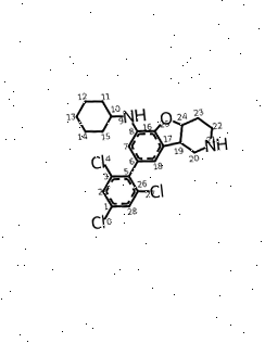 Clc1cc(Cl)c(-c2cc(NC3CCCCC3)c3c(c2)C2CNCCC2O3)c(Cl)c1